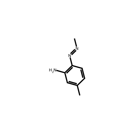 CN=Nc1ccc(C)cc1N